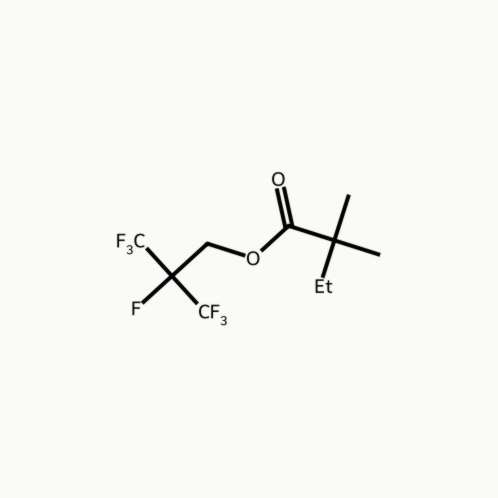 CCC(C)(C)C(=O)OCC(F)(C(F)(F)F)C(F)(F)F